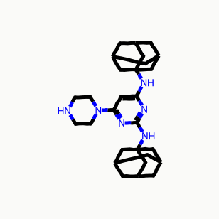 c1c(NC23CC4CC(CC(C4)C2)C3)nc(NC23CC4CC(CC(C4)C2)C3)nc1N1CCNCC1